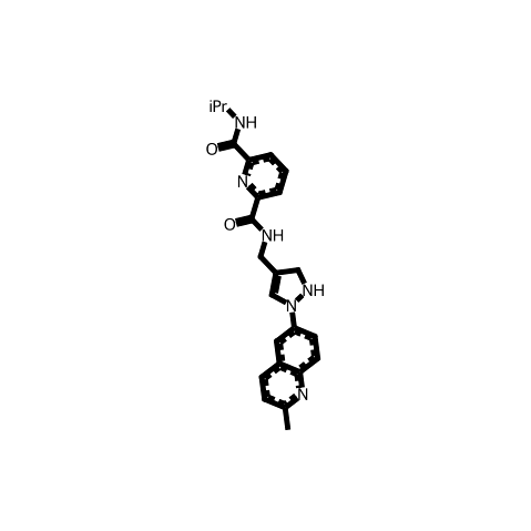 Cc1ccc2cc(N3C=C(CNC(=O)c4cccc(C(=O)NC(C)C)n4)CN3)ccc2n1